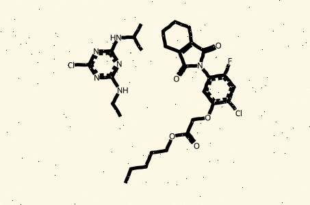 CCCCCOC(=O)COc1cc(N2C(=O)C3=C(CCCC3)C2=O)c(F)cc1Cl.CCNc1nc(Cl)nc(NC(C)C)n1